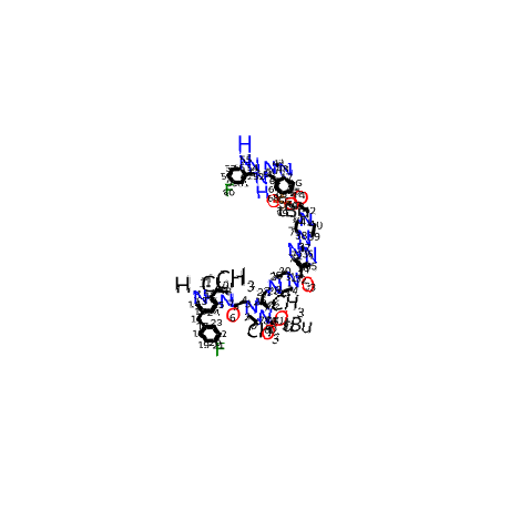 CC1CN(CC(=O)N2CC(C)(C)c3ncc(Cc4ccc(F)cc4)cc32)C(CN2CCN(C(=O)c3cnc(N4CCN(CCOc5cc6ncnc(Nc7n[nH]c8ccc(F)cc78)c6cc5S(=O)(=O)C(C)(C)C)CC4)nc3)C[C@H]2C)CN1C(=O)OC(C)(C)C